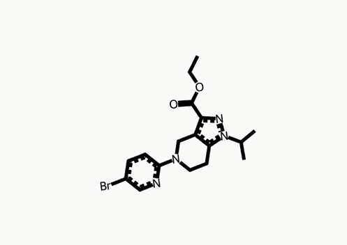 CCOC(=O)c1nn(C(C)C)c2c1CN(c1ccc(Br)cn1)CC2